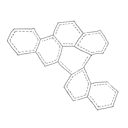 c1ccc2c(c1)cc1c3ccc4ccccc4c3c3cccc4ccc2c1c43